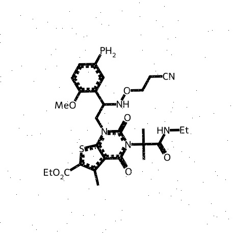 CCNC(=O)C(C)(C)n1c(=O)c2c(C)c(C(=O)OCC)sc2n(CC(NOCCC#N)c2cc(P)ccc2OC)c1=O